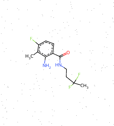 Cc1c(F)ccc(C(=O)NCCC(C)(F)F)c1N